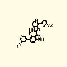 CC(=O)c1ccc(-c2nccc3[nH]c(-c4n[nH]c5ccc(-c6cncc(N)c6)c(F)c45)nc23)s1